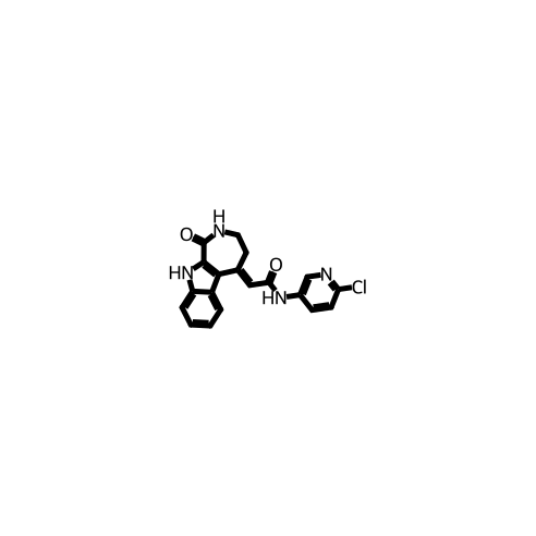 O=C(C=C1CCNC(=O)c2[nH]c3ccccc3c21)Nc1ccc(Cl)nc1